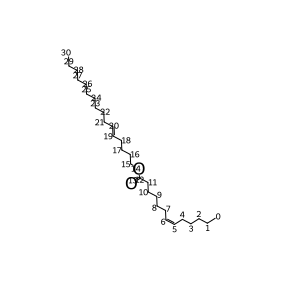 CCCCC/C=C\CCCCCC(=O)OCCCC/C=C/CCCCCCCCCC